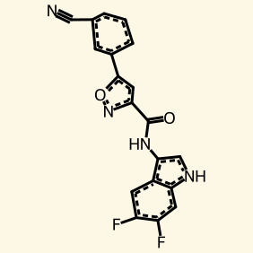 N#Cc1cccc(-c2cc(C(=O)Nc3c[nH]c4cc(F)c(F)cc34)no2)c1